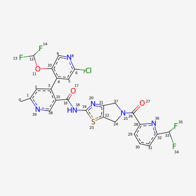 Cc1cc(-c2cc(Cl)ncc2OC(F)F)c(C(=O)Nc2nc3c(s2)CN(C(=O)c2cccc(C(F)F)n2)C3)cn1